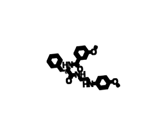 COc1ccc(NCCNC(=O)[C@H](Cc2ccccc2)NC(=O)c2cccc(OC)c2)cc1